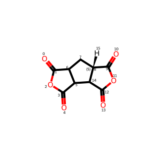 O=C1OC(=O)C2C1C[C@@H]1C(=O)OC(=O)C21